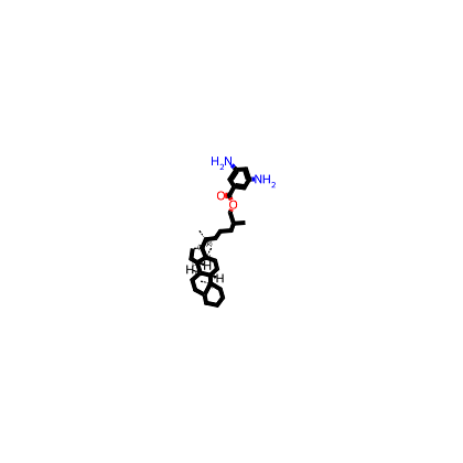 CC(CCC[C@@H](C)[C@H]1CC[C@H]2[C@@H]3CCC4CCCC[C@]4(C)[C@H]3CC[C@]12C)COC(=O)c1cc(N)cc(N)c1